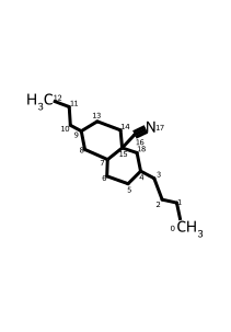 CCCCC1CCC2CC(CCC)CCC2(C#N)C1